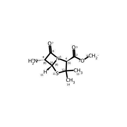 [CH2]OC(=O)[C@@H]1N2C(=O)[C@@H](N)[C@H]2SC1(C)C